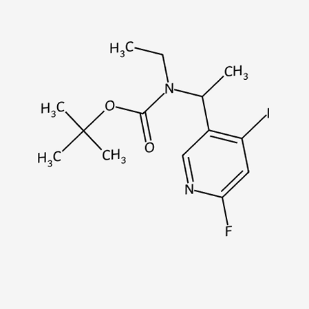 CCN(C(=O)OC(C)(C)C)C(C)c1cnc(F)cc1I